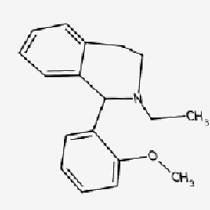 CCN1CCc2ccccc2C1c1ccccc1OC